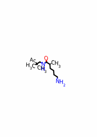 CC(=O)C(C)(C)CNC(=O)[C@@H](C)CCCCN